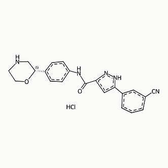 Cl.N#Cc1cccc(-c2cc(C(=O)Nc3ccc([C@H]4CNCCO4)cc3)n[nH]2)c1